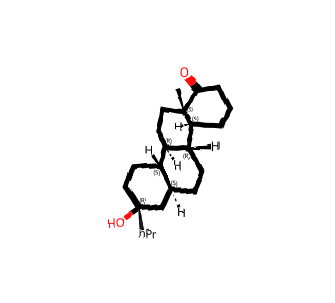 CCC[C@@]1(O)CC[C@H]2[C@@H](CC[C@@H]3[C@@H]2CC[C@]2(C)C(=O)CCC[C@@H]32)C1